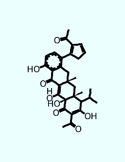 CC(=O)C1=C(c2ccc(O)c3c2C[C@]2(C)C[C@]4(C)C(C(C)C)C(O)=C(C(C)=O)C(=O)[C@]4(O)C(O)=C2C3=O)CC=C1